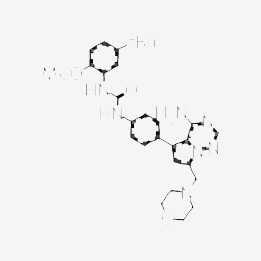 COc1ccc(C(C)(C)C)cc1NC(=O)Nc1ccc(-c2cc(CN3CCOCC3)n3ncnc(N)c23)cc1